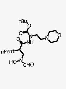 CCCCCC(CN(O)C=O)C(=O)NN(CCN1CCOCC1)C(=O)OC(C)(C)C